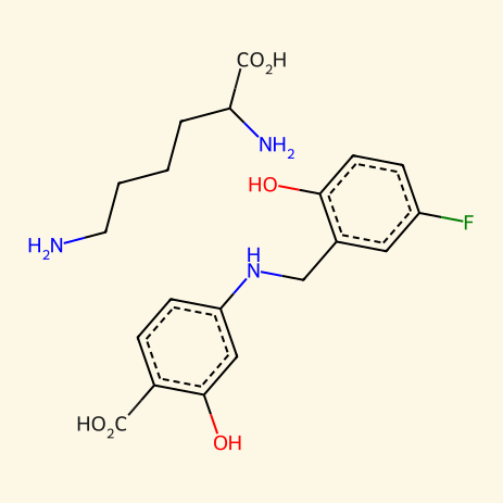 NCCCCC(N)C(=O)O.O=C(O)c1ccc(NCc2cc(F)ccc2O)cc1O